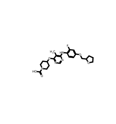 Cc1c(Nc2ccc(OCC3CCCO3)cc2F)ncnc1OC1CCN(C(=O)O)CC1